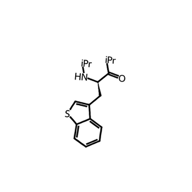 CC(C)N[C@H](Cc1csc2ccccc12)C(=O)C(C)C